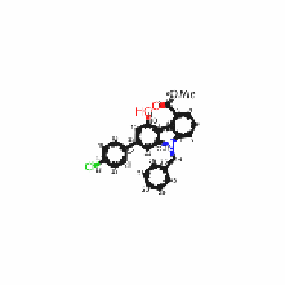 COC(=O)c1cccc2c1c1c(O)cc(-c3ccc(Cl)cc3)cc1n2Cc1ccccc1